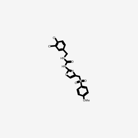 COc1ccc(S(=O)(=O)Cc2csc(NC(=O)NCc3ccc(Cl)c(Cl)c3)n2)cc1